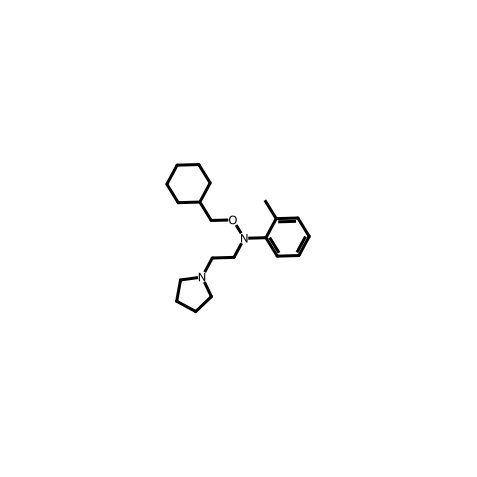 Cc1ccccc1N(CCN1CCCC1)OCC1CCCCC1